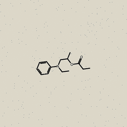 CCC(=O)OC(C)CN(CC)c1ccccc1